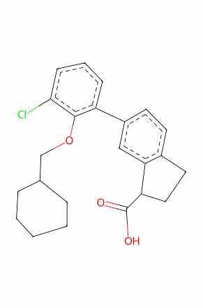 O=C(O)C1CCc2ccc(-c3cccc(Cl)c3OCC3CCCCC3)cc21